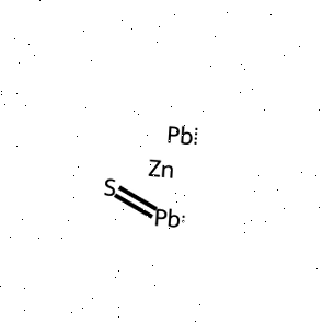 [Pb].[S]=[Pb].[Zn]